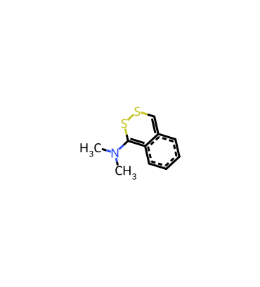 CN(C)C1=c2ccccc2=CSS1